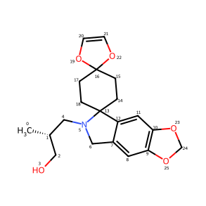 C[C@@H](CO)CN1Cc2cc3c(cc2C12CCC1(CC2)OC=CO1)OCO3